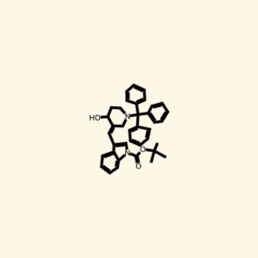 CC(C)(C)OC(=O)n1cc(/C=C2\CN(C(c3ccccc3)(c3ccccc3)c3ccccc3)CCC2O)c2ccccc21